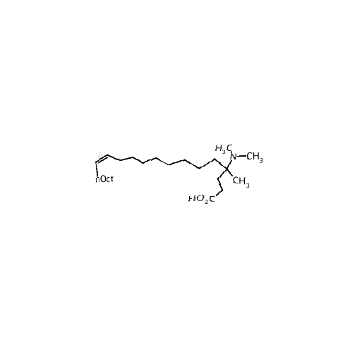 CCCCCCCC/C=C\CCCCCCCCC(C)(CCC(=O)O)N(C)C